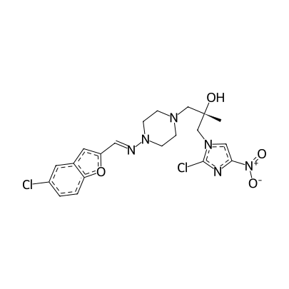 C[C@](O)(CN1CCN(/N=C/c2cc3cc(Cl)ccc3o2)CC1)Cn1cc([N+](=O)[O-])nc1Cl